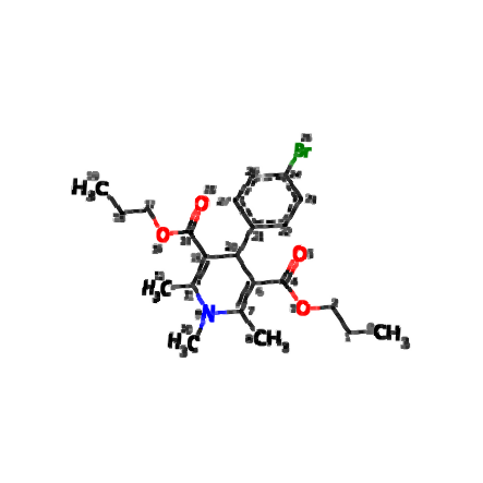 CCCOC(=O)C1=C(C)N(C)C(C)=C(C(=O)OCCC)C1c1ccc(Br)cc1